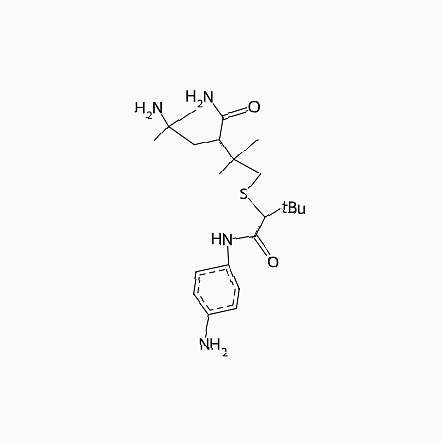 CC(C)(N)CC(C(N)=O)C(C)(C)CSC(C(=O)Nc1ccc(N)cc1)C(C)(C)C